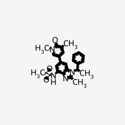 Cc1cc(-c2cc(NS(C)(=O)=O)c3nc(C)n(C(C)c4ccccc4)c3c2)cn(C)c1=O